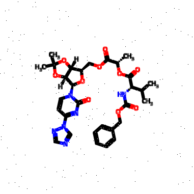 CC(C)[C@H](NC(=O)OCc1ccccc1)C(=O)O[C@@H](C)C(=O)OC[C@H]1O[C@@H](n2ccc(-n3cncn3)nc2=O)[C@@H]2OC(C)(C)O[C@@H]21